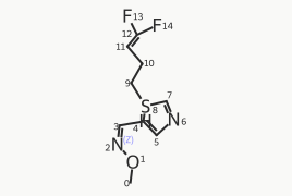 CO/N=C\C1=CN=C[SH]1CCC=C(F)F